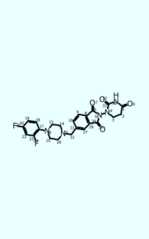 O=C1CCN(N2C(=O)c3ccc(CN4CCN(c5ccc(F)cc5F)CC4)cc3C2=O)C(=O)N1